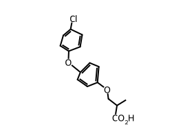 CC(COc1ccc(Oc2ccc(Cl)cc2)cc1)C(=O)O